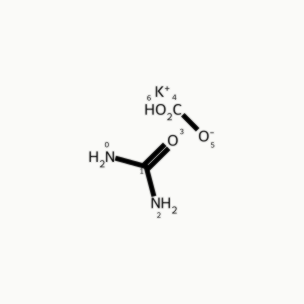 NC(N)=O.O=C([O-])O.[K+]